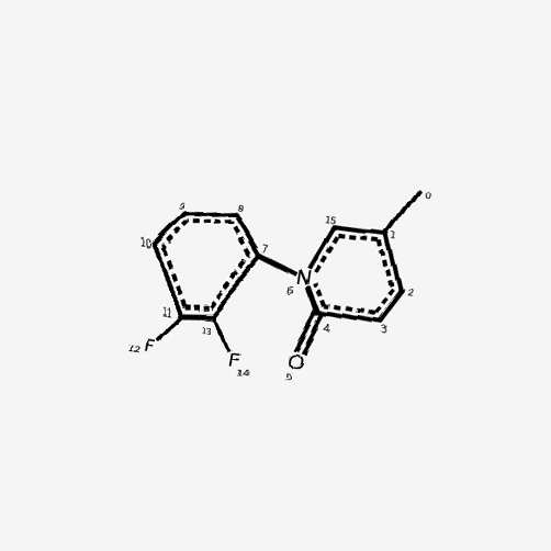 Cc1ccc(=O)n(-c2cccc(F)c2F)c1